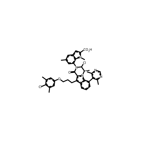 Cc1cc(N2C(=O)c3c(CCCOc4cc(C)c(Cl)c(C)c4)c4cccc(-c5c(C)ncnc5C)c4n3[C@H](C)C2Cl)c2c(c1)cc(C(=O)O)n2C